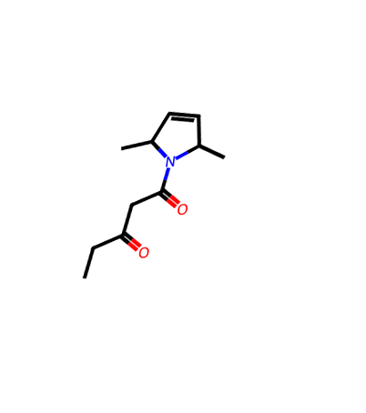 CCC(=O)CC(=O)N1C(C)C=CC1C